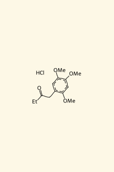 CCC(=O)Cc1cc(OC)c(OC)cc1OC.Cl